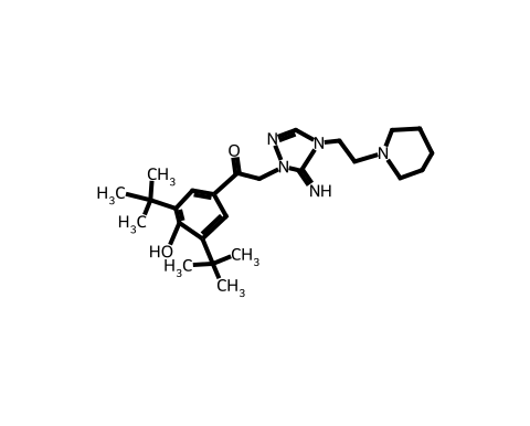 CC(C)(C)c1cc(C(=O)Cn2ncn(CCN3CCCCC3)c2=N)cc(C(C)(C)C)c1O